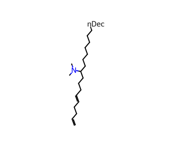 C=CCCC=CCCCC(CCCCCCCCCCCCCCCCC)N(C)C